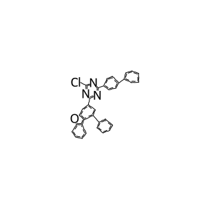 Clc1nc(-c2ccc(-c3ccccc3)cc2)nc(-c2cc(-c3ccccc3)c3c(c2)oc2ccccc23)n1